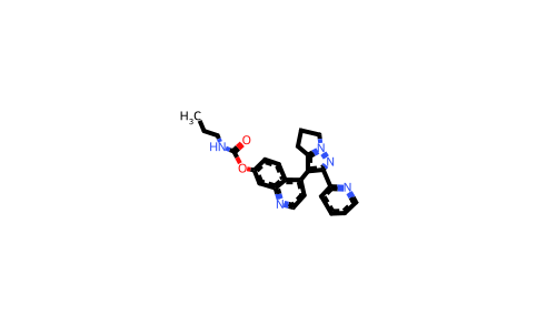 CCCNC(=O)Oc1ccc2c(-c3c(-c4ccccn4)nn4c3CCC4)ccnc2c1